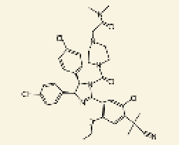 CCOc1cc(C(C)(C)C#N)c(Cl)cc1C1=N[C@@H](c2ccc(Cl)cc2)[C@@H](c2ccc(Cl)cc2)N1C(=O)N1CCN(CC(=O)N(C)C)CC1